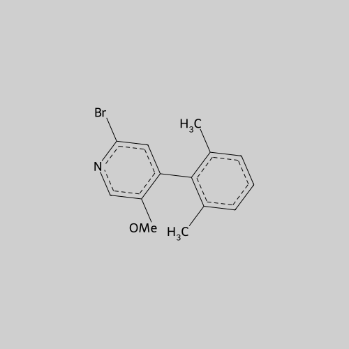 COc1cnc(Br)cc1-c1c(C)cccc1C